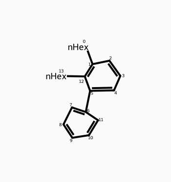 CCCCCCc1cccc(-c2ccccc2)c1CCCCCC